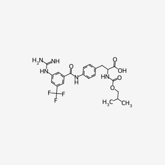 CC(C)COC(=O)NC(Cc1ccc(NC(=O)c2cc(NC(=N)N)cc(C(F)(F)F)c2)cc1)C(=O)O